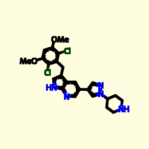 COc1cc(OC)c(Cl)c(Cc2c[nH]c3ncc(-c4cnn(C5CCNCC5)c4)cc23)c1Cl